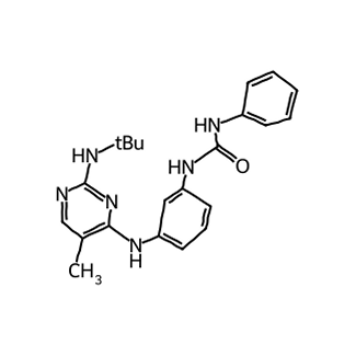 Cc1cnc(NC(C)(C)C)nc1Nc1cccc(NC(=O)Nc2ccccc2)c1